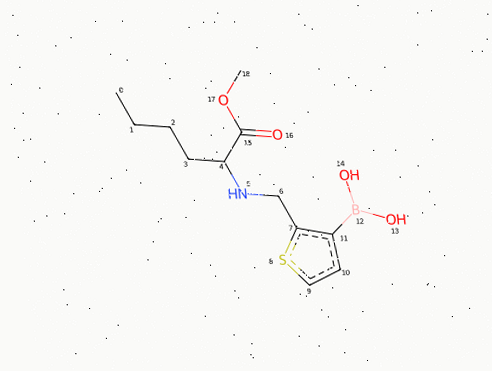 CCCCC(NCc1sccc1B(O)O)C(=O)OC